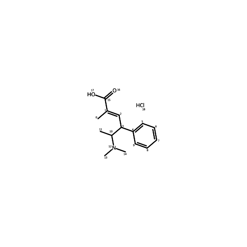 CC(=CC(c1ccccc1)C(C)N(C)C)C(=O)O.Cl